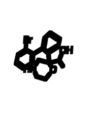 CC(O)C1(c2ccccc2-c2ccccc2Br)CNCCO1